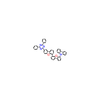 c1ccc(-c2nc(-c3ccccc3)nc(-c3ccc4oc5c(-c6cccc7c6oc6c(-n8c9ccccc9c9ccccc98)cccc67)cccc5c4c3)n2)cc1